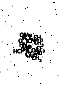 COC(=O)CC(C[N+](C)(C)C)NS(=O)(=O)n1cc[n+](C)c1OS(=O)(=O)C(F)(F)F.Cl